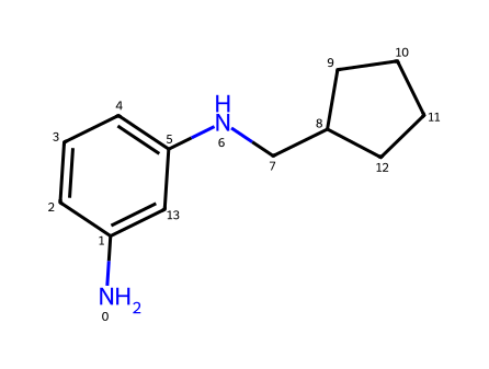 Nc1cccc(NCC2CCCC2)c1